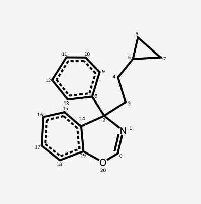 C1=NC(CCC2CC2)(c2ccccc2)c2ccccc2O1